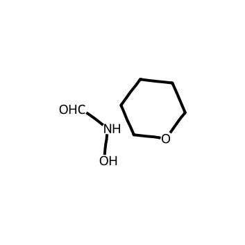 C1CCOCC1.O=CNO